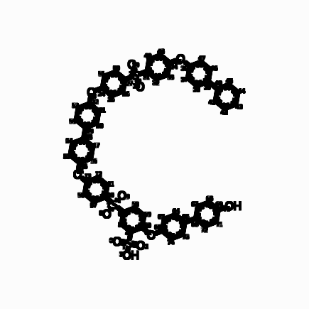 O=S(=O)(O)c1cc(S(=O)(=O)c2ccc(Oc3ccc(-c4ccc(Oc5ccc(S(=O)(=O)c6ccc(Oc7ccc(-c8ccccc8)cc7)cc6)cc5)cc4)cc3)cc2)ccc1Oc1ccc(-c2ccc(O)cc2)cc1